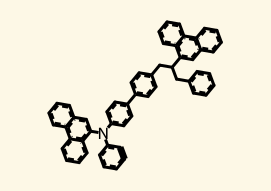 c1cccc(N(c2ccc(-c3ccc(CC(Cc4ccccc4)c4cc5ccccc5c5ccccc45)cc3)cc2)c2cc3ccccc3c3ccccc23)c#1